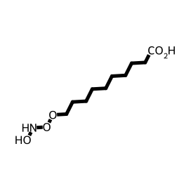 O=C(O)CCCCCCCCCOONO